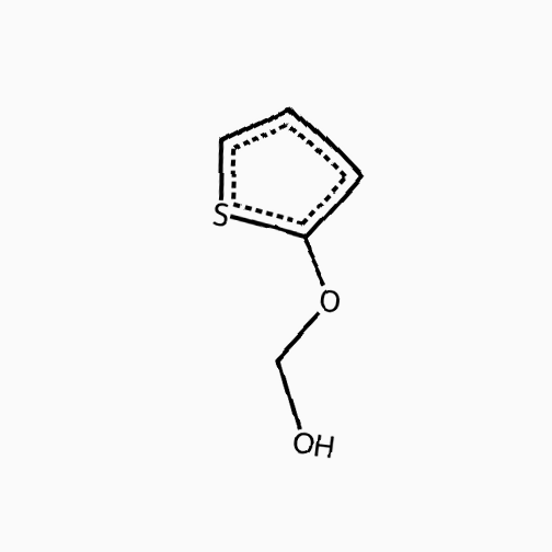 OCOc1cccs1